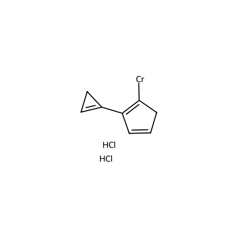 Cl.Cl.[Cr][C]1=C(C2=CC2)C=CC1